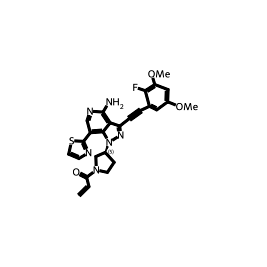 C=CC(=O)N1CC[C@H](n2nc(C#Cc3cc(OC)cc(OC)c3F)c3c(N)ncc(-c4nccs4)c32)C1